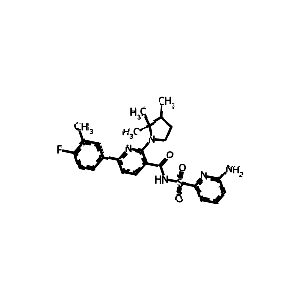 Cc1cc(-c2ccc(C(=O)NS(=O)(=O)c3cccc(N)n3)c(N3CCC(C)C3(C)C)n2)ccc1F